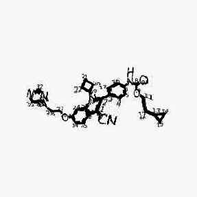 N#Cc1c(-c2ccc(NC(=O)OCCC3CC3)cc2)n(C2CCC2)c2cc(OCCn3cncn3)ccc12